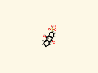 O=C1C2=C(CC(S(=O)(=O)O)C=C2)C(=O)c2ccccc21